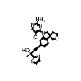 C[C@@](O)(C#Cc1ccc2c(c1)N(c1nc(N)ncc1Cl)CC21CCOC1)c1nccs1